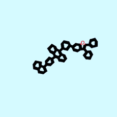 c1ccc(-c2oc3cc(-c4cccc(-c5c6ccccc6c(-c6ccc(-c7cccc8ccccc78)cc6)c6ccccc56)c4)ccc3c2-c2ccccc2)cc1